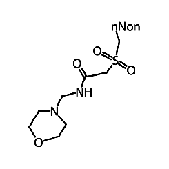 CCCCCCCCCCS(=O)(=O)CC(=O)NCN1CCOCC1